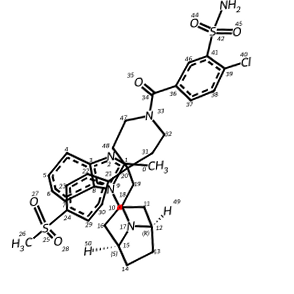 Cc1nc2ccccc2n1C1C[C@H]2CC[C@@H](C1)N2CCC1(c2ccc(S(C)(=O)=O)cc2)CCN(C(=O)c2ccc(Cl)c(S(N)(=O)=O)c2)CC1